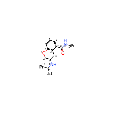 CCC(NC1COc2cccc(C(=O)NC(C)C)c2C1)C(C)C